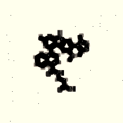 COc1cc2c(cc1-c1c(C)noc1C)[nH]c1nc(C)nc(-c3ccc(C(=O)NCCC(=O)O)c4ccccc34)c12